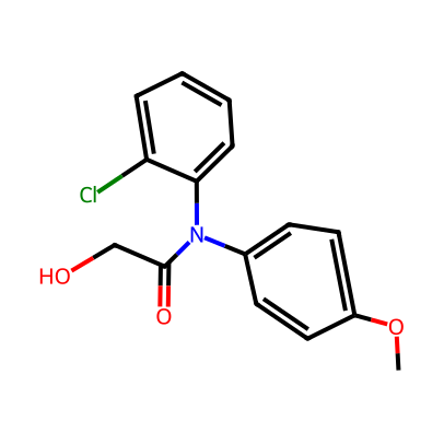 COc1ccc(N(C(=O)CO)c2ccccc2Cl)cc1